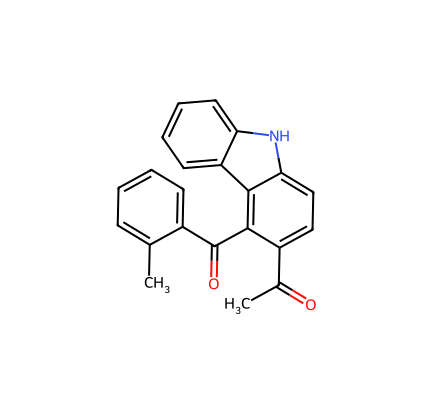 CC(=O)c1ccc2[nH]c3ccccc3c2c1C(=O)c1ccccc1C